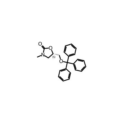 CN1C[C@@H](COC(c2ccccc2)(c2ccccc2)c2ccccc2)OC1=O